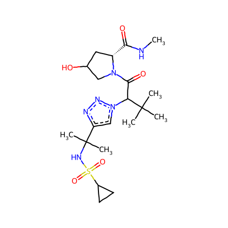 CNC(=O)[C@H]1CC(O)CN1C(=O)C(n1cc(C(C)(C)NS(=O)(=O)C2CC2)nn1)C(C)(C)C